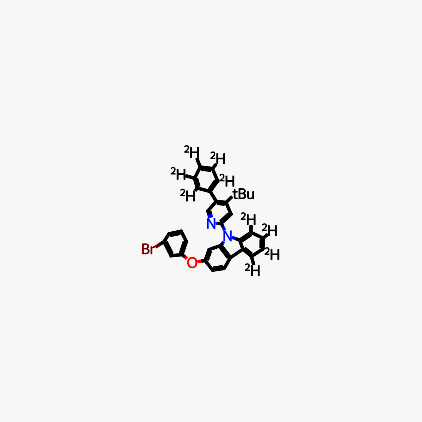 [2H]c1c([2H])c([2H])c(-c2cnc(-n3c4cc(Oc5cccc(Br)c5)ccc4c4c([2H])c([2H])c([2H])c([2H])c43)cc2C(C)(C)C)c([2H])c1[2H]